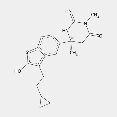 CN1C(=N)N[C@](C)(c2ccc3sc(O)c(CCC4CC4)c3c2)CC1=O